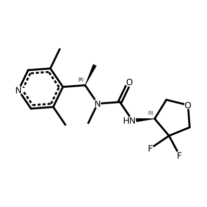 Cc1cncc(C)c1[C@@H](C)N(C)C(=O)N[C@H]1COCC1(F)F